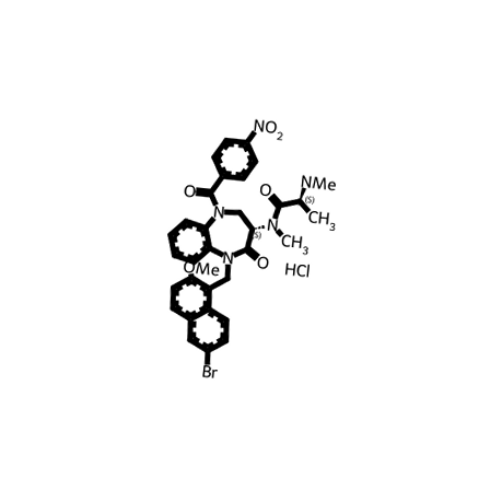 CN[C@@H](C)C(=O)N(C)[C@H]1CN(C(=O)c2ccc([N+](=O)[O-])cc2)c2ccccc2N(Cc2c(OC)ccc3cc(Br)ccc23)C1=O.Cl